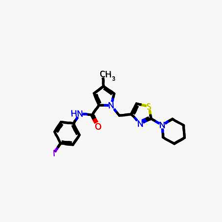 Cc1cc(C(=O)Nc2ccc(I)cc2)n(Cc2csc(N3CCCCC3)n2)c1